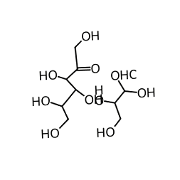 O=C(CO)C(O)C(O)C(O)CO.O=CC(O)C(O)CO